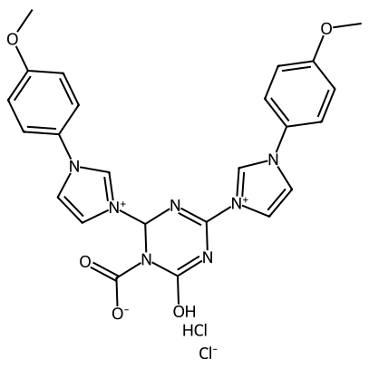 COc1ccc(-n2cc[n+](C3=NC([n+]4ccn(-c5ccc(OC)cc5)c4)N(C(=O)[O-])C(O)=N3)c2)cc1.Cl.[Cl-]